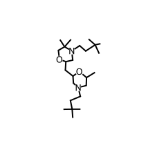 CC1CN(CCC(C)(C)C)CC(CC2CN(CCC(C)(C)C)C(C)(C)CO2)O1